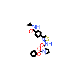 O=C(NC1CC1)c1ccc(-c2csc(NC(=O)[C@@H]3CCCN3C(=O)Oc3ccccc3)n2)cc1